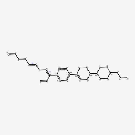 C=C/C(=C\C/C=C/CCC=O)c1ncc(C2=CCC(C3CCC(CCC)CC3)CC2)cn1